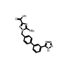 CCCCc1nc(C(=O)CCC)nn1Cc1ccc(-c2cccc(-c3nnn[nH]3)c2)cc1